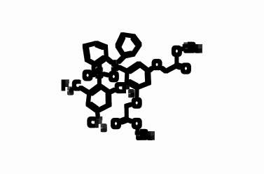 CC(C)(C)OC(=O)COc1cc(OCC(=O)OC(C)(C)C)cc(S(OS(=O)(=O)c2c(C(F)(F)F)cc(C(F)(F)F)cc2C(F)(F)F)(c2ccccc2)c2ccccc2)c1